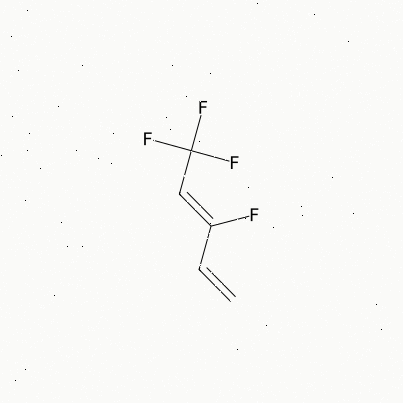 C=CC(F)=CC(F)(F)F